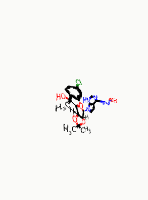 CC1(C)O[C@@H]2[C@H](O1)[C@@H](C(C)(O)c1ccc(Cl)cc1)O[C@H]2n1ccc2c(=NO)nc[nH]c21